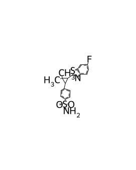 CC1(C)C(c2ccc(S(N)(=O)=O)cc2)C1c1nc2ccc(F)cc2s1